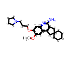 COc1cc2c3c(c(N)nc2cc1OCCCN1CCCC1)CC1(CCCCC1)C3